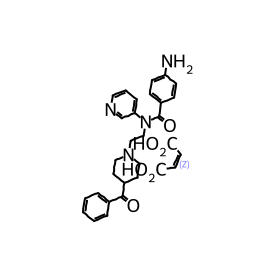 Nc1ccc(C(=O)N(CCN2CCC(C(=O)c3ccccc3)CC2)c2cccnc2)cc1.O=C(O)/C=C\C(=O)O